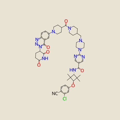 CC1(C)[C@H](NC(=O)c2cnc(N3CCN(CC4CCN(C(=O)C5CCN(c6ccc7nnn(C8CCC(=O)NC8=O)c(=O)c7c6)CC5)CC4)CC3)nc2)C(C)(C)[C@H]1Oc1ccc(C#N)c(Cl)c1